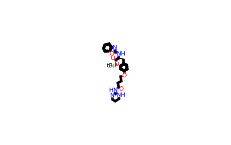 CC(C)(C)OC(=O)[C@H](Cc1ccc(OCCCC(=O)NC2=NCCCN2)cc1)Nc1nc2ccccc2o1